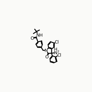 CC(C)(C)NC(=O)c1ccc(CN2C(=O)C(N)(c3ccccc3Cl)c3cc(Cl)ccc32)cc1